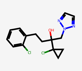 OC(CCc1ccccc1Cl)(Cn1nccn1)C1(Cl)CC1